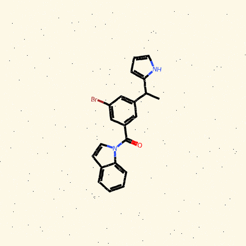 CC(c1cc(Br)cc(C(=O)n2ccc3ccccc32)c1)c1ccc[nH]1